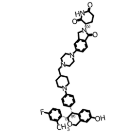 Cc1cc(F)ccc1[C@H]1OCc2cc(O)ccc2[C@H]1c1ccc(N2CCC(CN3CCN(c4ccc5c(c4)CN([C@H]4CCC(=O)NC4=O)C5=O)CC3)CC2)cc1